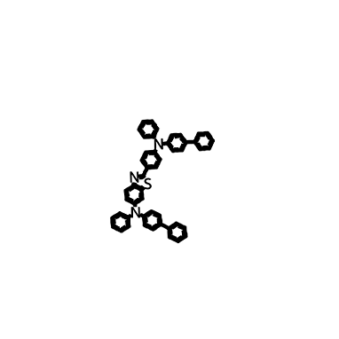 c1ccc(-c2ccc(N(c3ccccc3)c3ccc(-c4nc5ccc(N(c6ccccc6)c6ccc(-c7ccccc7)cc6)cc5s4)cc3)cc2)cc1